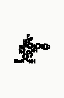 C=CC(=O)Nc1cc(Nc2cc(-c3ccc(C=N)c(NC)c3)ncn2)c(OC(F)F)cc1N1CCC(N2CCOCC2)CC1